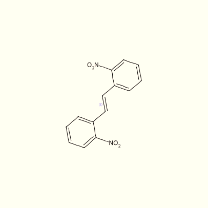 O=[N+]([O-])c1ccccc1/C=C/c1ccccc1[N+](=O)[O-]